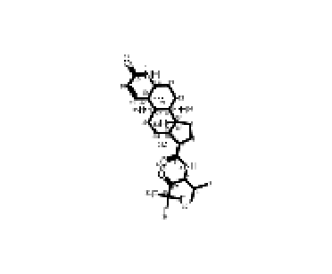 CC(C)C(NC(=O)C1CC[C@H]2[C@@H]3CCC4NC(=O)C=C[C@]4(C)[C@@H]3CC[C@]12C)C(=O)C(F)(F)F